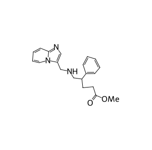 COC(=O)CCC(CNCc1cnc2ccccn12)c1ccccc1